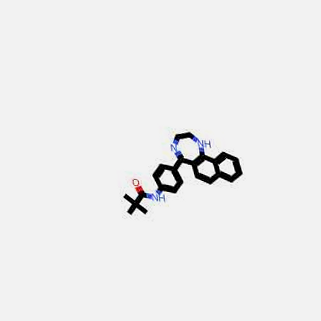 CC(C)(C)C(=O)Nc1ccc(C2=NCCNc3c2ccc2ccccc32)cc1